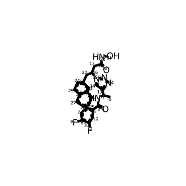 CC(NC(=O)c1ccc(F)c(F)c1)c1cn(C(CC(=O)NO)Cc2ccc3ccccc3c2)nn1